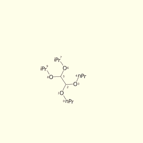 CCCOC(OCCC)C(OC(C)C)OC(C)C